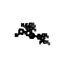 Cn1nc(C23CCC(CN(C(=O)OC(C)(C)C)c4cccc(Br)c4)(CC2)CC3)cc1C(C)(F)F